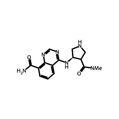 CNC(=O)C1CNC[C@@H]1Nc1ncnc2c(C(N)=O)cccc12